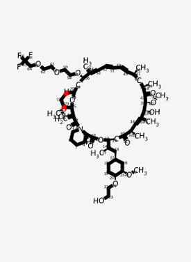 C=C1C(=O)N2CCCC[C@H]2C(=O)O[C@H]([C@H](C)C[C@@H]2CC[C@@H](OCCO)[C@H](OC)C2)CC(=O)[C@H](C)/C=C(\C)[C@@H](O)[C@@H](OC)C(=O)[C@H](C)C[C@H](C)/C=C/C=C/C=C(\C)[C@H](OCCOCCOCC(F)(F)F)C[C@@H]2CC[C@@H](C)[C@@]1(OO)O2